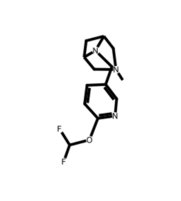 CN1CC2CC(C1)N2Cc1ccc(OC(F)F)nc1